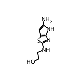 Nc1cc2sc(NCCO)nc2[nH]1